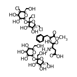 COC(=O)[C@H](Cc1ccccc1)NC(=O)[C@@H](N)CC(=O)O.OC[C@H]1O[C@@](CO)(O[C@H]2O[C@H](CO)[C@@H](O)[C@H](O)[C@H]2O)[C@@H](O)[C@@H]1O.OC[C@H]1O[C@H](O[C@]2(CCl)O[C@H](CCl)[C@@H](O)[C@@H]2O)[C@H](O)[C@@H](O)[C@H]1Cl